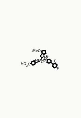 COc1cccc2c1CC(C(=O)NCc1ccc(C(=O)O)cc1)N2S(=O)(=O)c1ccc(-c2ccc(F)cc2F)cc1